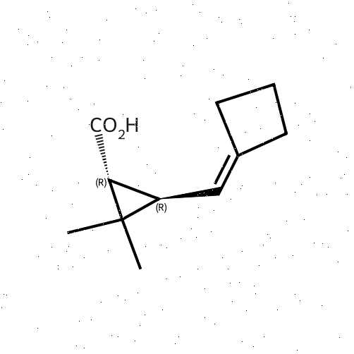 CC1(C)[C@H](C=C2CCC2)[C@H]1C(=O)O